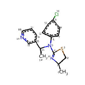 CC1CSC(N(c2ccc(Cl)cc2)C(C)c2cccnc2)=N1